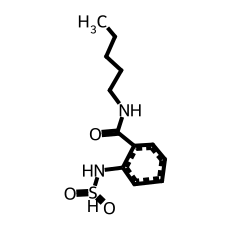 CCCCCNC(=O)c1ccccc1N[SH](=O)=O